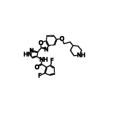 O=C(Nc1c[nH]nc1-c1nc2cc(OCCC3CCNCC3)ccc2o1)c1c(F)cccc1F